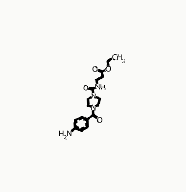 CCOC(=O)CCNC(=O)N1CCN(C(=O)c2ccc(N)cc2)CC1